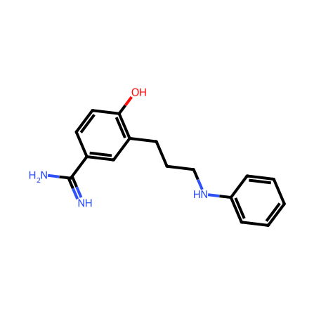 N=C(N)c1ccc(O)c(CCCNc2ccccc2)c1